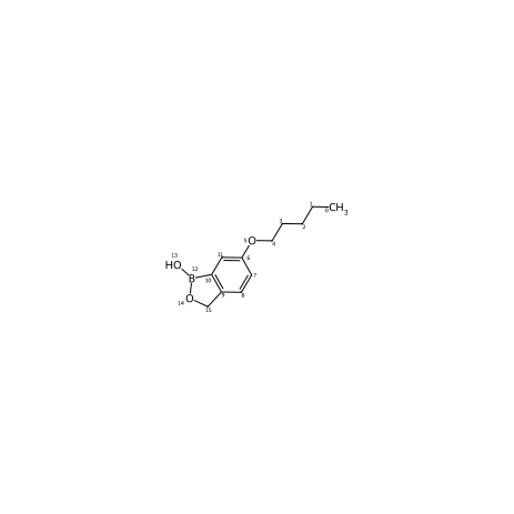 CCCCCOc1ccc2c(c1)B(O)OC2